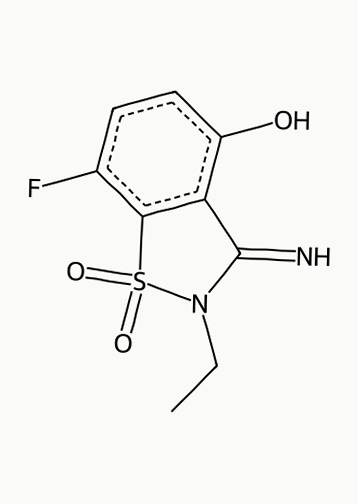 CCN1C(=N)c2c(O)ccc(F)c2S1(=O)=O